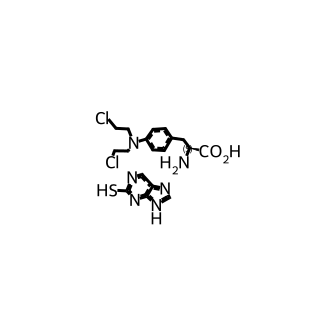 N[C@@H](Cc1ccc(N(CCCl)CCCl)cc1)C(=O)O.Sc1ncc2nc[nH]c2n1